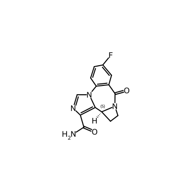 NC(=O)c1ncn2c1[C@@H]1CCN1C(=O)c1cc(F)ccc1-2